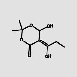 CC/C(O)=C1/C(=O)OC(C)(C)OC1O